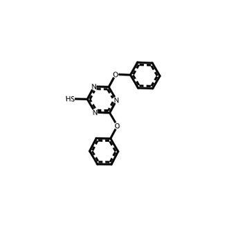 Sc1nc(Oc2ccccc2)nc(Oc2ccccc2)n1